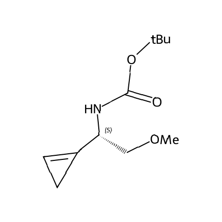 COC[C@@H](NC(=O)OC(C)(C)C)C1=CC1